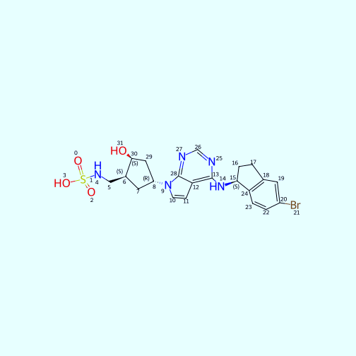 O=S(=O)(O)NC[C@@H]1C[C@@H](n2ccc3c(N[C@H]4CCc5cc(Br)ccc54)ncnc32)C[C@@H]1O